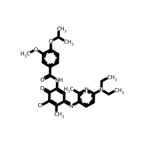 CCN(CC)c1ccc(/N=C2\C=C(NC(=O)c3ccc(OC(C)C)c(OC)c3)C(=O)C(Cl)=C2C)c(C)n1